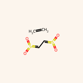 C=C.O=S(=O)=CC=S(=O)=O